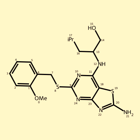 COc1ccccc1CSc1nc(NC(CO)CC(C)C)c2sc(N)nc2n1